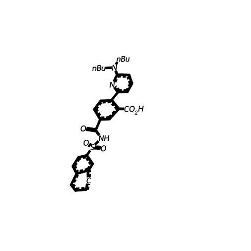 CCCCN(CCCC)c1cccc(-c2ccc(C(=O)NS(=O)(=O)c3ccc4ccccc4c3)cc2C(=O)O)n1